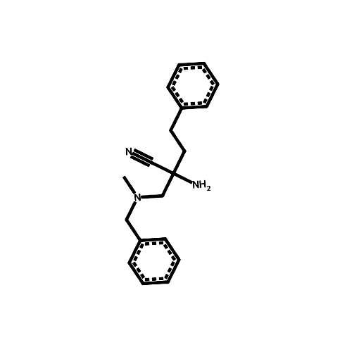 CN(Cc1ccccc1)CC(N)(C#N)CCc1ccccc1